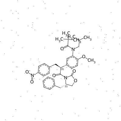 COc1ccc([C@H](Cc2ccc([N+](=O)[O-])cc2)C(=O)N2C(=O)OC[C@@H]2Cc2ccccc2)cc1N(CC(C)C)C(=O)C(C)(C)C